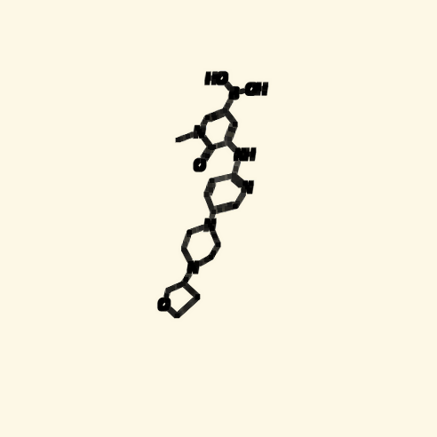 Cn1cc(B(O)O)cc(Nc2ccc(N3CCN(C4CCOC4)CC3)cn2)c1=O